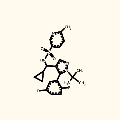 Cc1ccc(S(=O)(=O)NC(c2cnn(C(C)(C)C)c2-c2cc(F)ccc2F)C2CC2)cn1